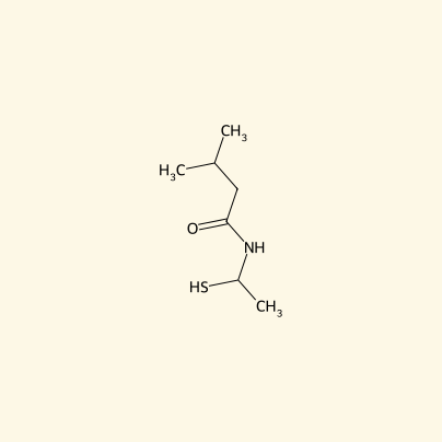 CC(C)CC(=O)NC(C)S